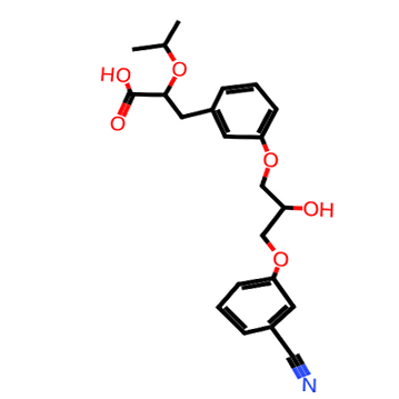 CC(C)OC(Cc1cccc(OCC(O)COc2cccc(C#N)c2)c1)C(=O)O